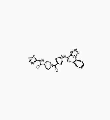 O=C(Nc1ncns1)C1CCN(C(=O)c2ccc(Nc3nc4ccccc4n4nnnc34)cc2)CC1